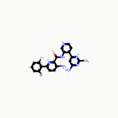 Cc1nc(N)cc(-c2ccncc2NC(=O)c2nc(-c3c(F)cccc3F)ccc2N)n1